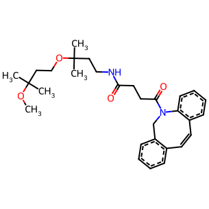 COC(C)(C)CCOC(C)(C)CCNC(=O)CCC(=O)N1Cc2ccccc2/C=C\c2ccccc21